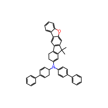 CC1(C)C2=C(CCC(N(c3ccc(-c4ccccc4)cc3)C3C=CC(c4ccccc4)=CC3)=C2)c2cc3c(cc21)oc1ccccc13